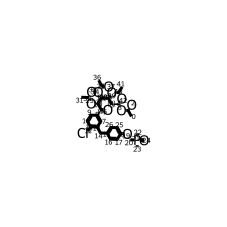 CC(=O)OC[C@H]1O[C@@H](c2ccc(Cl)c(Cc3ccc(OCP(C)(C)=O)cc3)c2)[C@H](OC(C)=O)[C@@H](OC(C)=O)[C@@H]1OC(C)=O